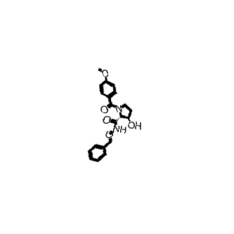 COc1ccc(C(=O)N2CC[C@@H](O)[C@@H]2C(=O)NOCc2ccccc2)cc1